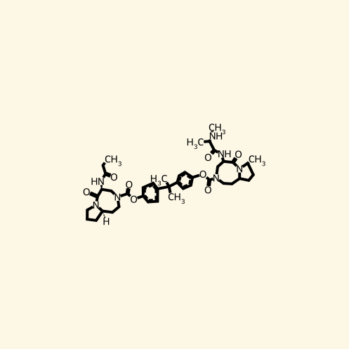 CCC(=O)N[C@H]1CN(C(=O)Oc2ccc(C(C)(C)c3ccc(OC(=O)N4CCC5CCC(C)N5C(=O)C(NC(=O)C(C)NC)C4)cc3)cc2)CC[C@H]2CCCN2C1=O